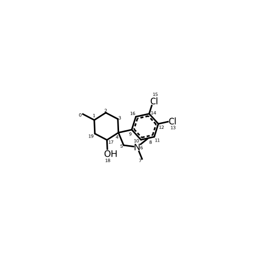 CC1CCC(CN(C)C)(c2ccc(Cl)c(Cl)c2)C(O)C1